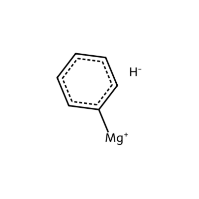 [H-].[Mg+][c]1ccccc1